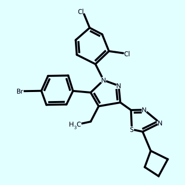 CCc1c(-c2nnc(C3CCC3)s2)nn(-c2ccc(Cl)cc2Cl)c1-c1ccc(Br)cc1